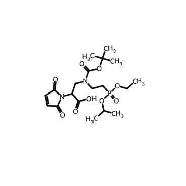 CCOP(=O)(CCN(CC(C(=O)O)N1C(=O)C=CC1=O)C(=O)OC(C)(C)C)OC(C)C